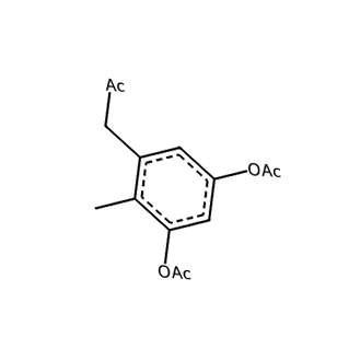 CC(=O)Cc1cc(OC(C)=O)cc(OC(C)=O)c1C